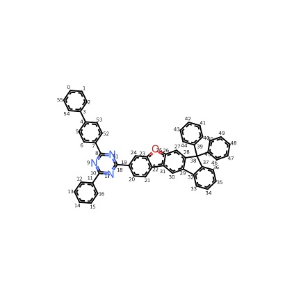 c1ccc(-c2ccc(-c3nc(-c4ccccc4)nc(-c4ccc5c(c4)oc4cc6c(cc45)-c4ccccc4C6(c4ccccc4)c4ccccc4)n3)cc2)cc1